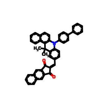 CC1(C)c2cc(C=C3C(=O)c4cc5ccccc5cc4C3=O)ccc2N(c2ccc(-c3ccccc3)cc2)c2ccc3ccccc3c21